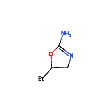 CCC1CN=C(N)O1